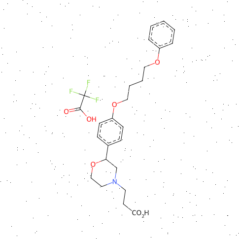 O=C(O)C(F)(F)F.O=C(O)CCN1CCOC(c2ccc(OCCCCOc3ccccc3)cc2)C1